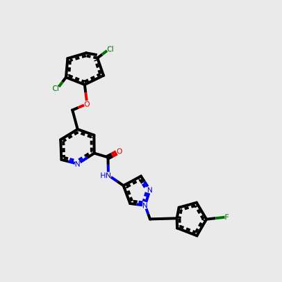 O=C(Nc1cnn(Cc2ccc(F)cc2)c1)c1cc(COc2cc(Cl)ccc2Cl)ccn1